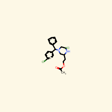 CC(=O)OCCC1CN(C(c2ccccc2)c2ccc(Cl)cc2)CCN1.Cl